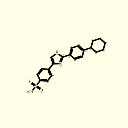 NS(=O)(=O)c1ccc(-c2coc(-c3ccc(C4CCCCC4)cc3)n2)cc1